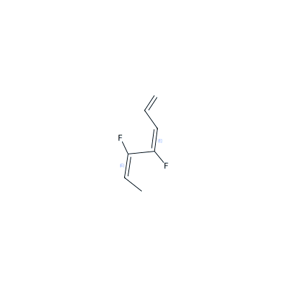 C=C/C=C(F)\C(F)=C/C